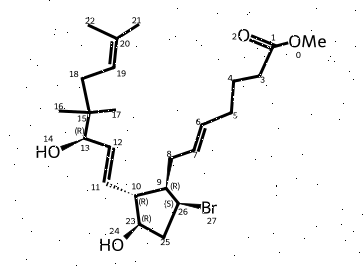 COC(=O)CCCC=CC[C@@H]1[C@@H](C=C[C@@H](O)C(C)(C)CC=C(C)C)[C@H](O)C[C@@H]1Br